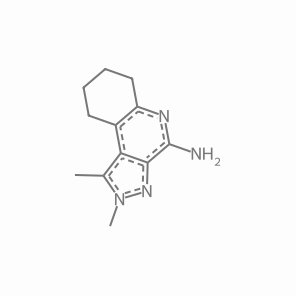 Cc1c2c3c(nc(N)c2nn1C)CCCC3